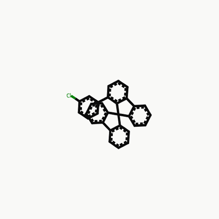 Clc1cccc(-c2cccc3c2C2(c4ccccc4-c4ccccc42)c2ccccc2-3)c1